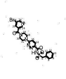 O=C(NS(=O)(=O)Cc1ccccc1)c1ccc(N2CCN(C(=O)c3cncc(Br)c3)CC2)nn1